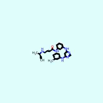 C#CC(C)NC/C=C/C(=O)Nc1cccc(Nc2cc(Nc3cccc(C)c3)ncn2)c1